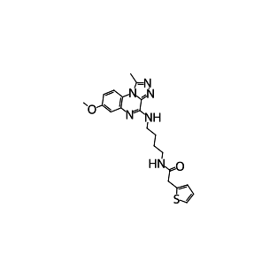 COc1ccc2c(c1)nc(NCCCCNC(=O)Cc1cccs1)c1nnc(C)n12